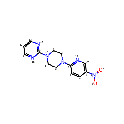 O=[N+]([O-])c1ccc(N2CCN(c3ncccn3)CC2)nc1